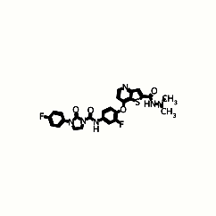 CN(C)NC(=O)c1cc2nccc(Oc3ccc(NC(=O)N4CCN(c5ccc(F)cc5)C4=O)cc3F)c2s1